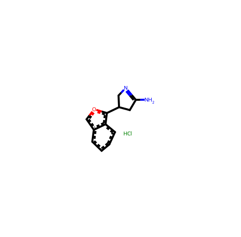 Cl.NC1=NCC(c2occ3ccccc23)C1